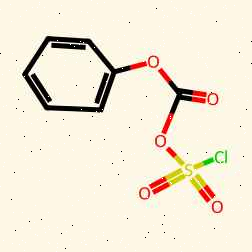 O=C(Oc1ccccc1)OS(=O)(=O)Cl